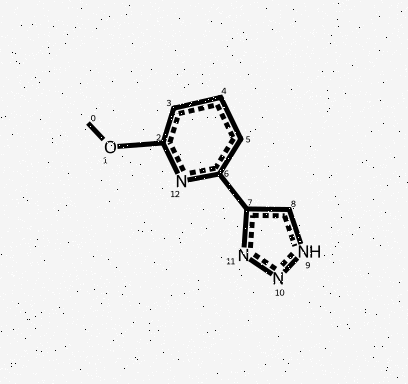 COc1cccc(-c2c[nH]nn2)n1